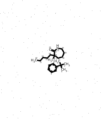 CC(C)(C)c1ccccc1.CCCCCC1(C)CCCCNC1=O